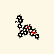 Sc1c(-c2cccc(N(c3ccccc3)c3cc4ccccc4c4ccc(N(c5ccc6c(c5)sc5ccccc56)c5ccccc5-c5ccccc5)cc34)c2)ccc2ccccc12